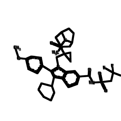 COc1ccc(-c2c(C3CCCCC3)c3ccc(C(=O)NS(=O)(=O)CC(F)(F)F)cc3n2CC2(C(=O)N3C4CCC3CN(C)C4)CC2)cc1